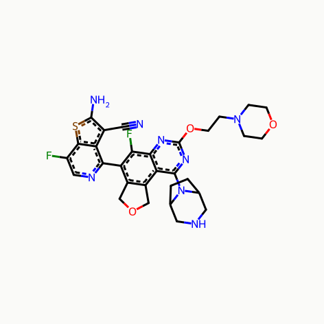 N#Cc1c(N)sc2c(F)cnc(-c3c4c(c5c(N6C7CCC6CNC7)nc(OCCN6CCOCC6)nc5c3F)COC4)c12